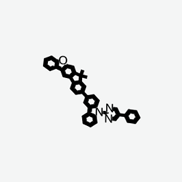 CC1(C)c2cc(-c3ccc4c(c3)c3ccccc3n4-c3ncc(-c4ccccc4)cn3)ccc2-c2cc3c(cc21)oc1ccccc13